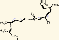 C=CC(/C=C(Cl)\C=C\C(=O)N/C=C/C=C(/C)C=C(C)C)OC